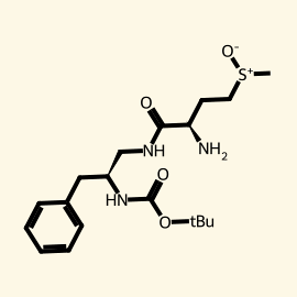 C[S+]([O-])CC[C@@H](N)C(=O)NC[C@H](Cc1ccccc1)NC(=O)OC(C)(C)C